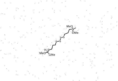 COC(OC)[SiH2]CCCSSSSCCC[Si](C)(OC)OC